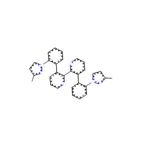 FC(F)(F)c1ccn(-c2ccccc2-c2cccnc2-c2ncccc2-c2ccccc2-n2ccc(C(F)(F)F)n2)n1